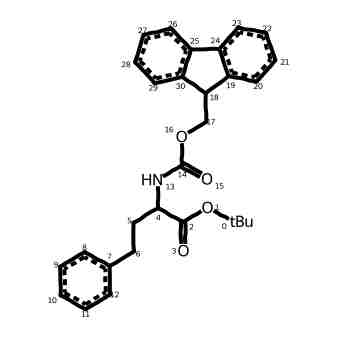 CC(C)(C)OC(=O)C(CCc1ccccc1)NC(=O)OCC1c2ccccc2-c2ccccc21